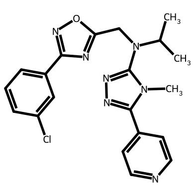 CC(C)N(Cc1nc(-c2cccc(Cl)c2)no1)c1nnc(-c2ccncc2)n1C